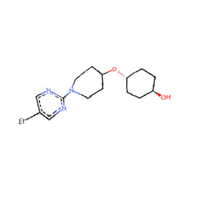 CCc1cnc(N2CCC(O[C@H]3CC[C@H](O)CC3)CC2)nc1